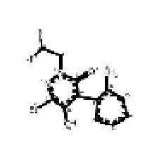 CCc1nn(CC(F)F)c(=O)c(-c2ccccc2C)c1O